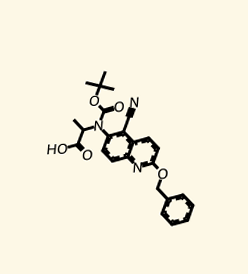 CC(C(=O)O)N(C(=O)OC(C)(C)C)c1ccc2nc(OCc3ccccc3)ccc2c1C#N